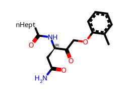 CCCCCCCC(=O)N[C@H](CC(N)=O)C(=O)COc1ccccc1C